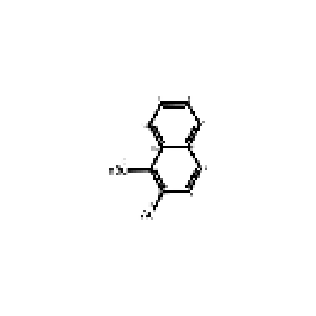 CCCCc1c(C(C)=O)ccc2ccccc12